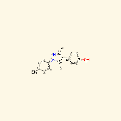 [CH2]Cc1ccc(-n2nc(C)c(-c3ccc(O)cc3)c2C)cc1